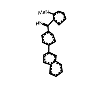 CNc1ccccc1C(=N)c1ccc(-c2ccc3ccccc3c2)cc1